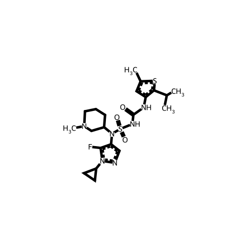 Cc1cc(NC(=O)NS(=O)(=O)N(c2cnn(C3CC3)c2F)C2CCCN(C)C2)c(C(C)C)s1